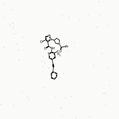 Cc1cc(C#Cc2ccccc2)cnc1NC(=O)c1c(Cl)cnn1C1CCN(C(=O)C(C)C)C1